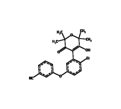 CCc1ccc(Oc2cccc(C#N)c2)cc1C1=C(O)C(C)(C)OC(C)(C)C1=O